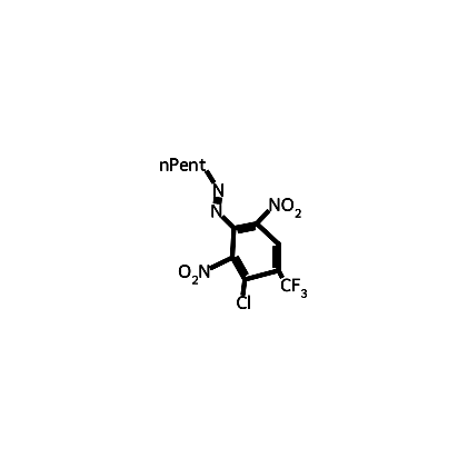 CCCCCN=Nc1c([N+](=O)[O-])cc(C(F)(F)F)c(Cl)c1[N+](=O)[O-]